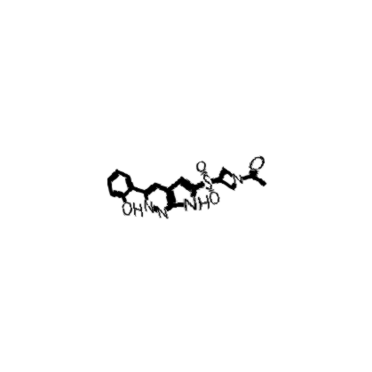 CC(=O)N1CC(S(=O)(=O)c2cc3cc(-c4ccccc4O)nnc3[nH]2)C1